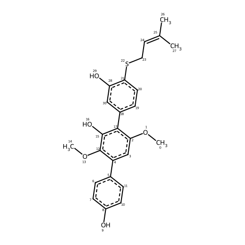 COc1cc(-c2ccc(O)cc2)c(OC)c(O)c1-c1ccc(SCC=C(C)C)c(O)c1